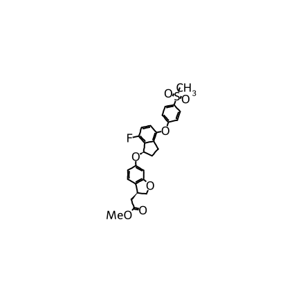 COC(=O)C[C@@H]1COc2cc(O[C@@H]3CCc4c(Oc5ccc(S(C)(=O)=O)cc5)ccc(F)c43)ccc21